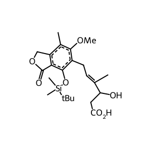 COc1c(C)c2c(c(O[Si](C)(C)C(C)(C)C)c1C/C=C(\C)C(O)CC(=O)O)C(=O)OC2